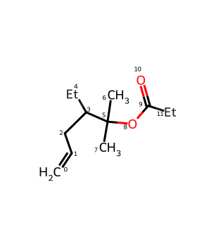 C=CCC(CC)C(C)(C)OC(=O)CC